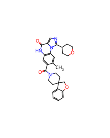 Cc1cc2c(cc1C(=O)N1CCC3(CC1)COc1ccccc13)[nH]c(=O)c1cnc(C3CCOCC3)n12